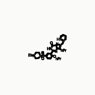 CCCOc1ccc(S(=O)(=O)N2CCN(CC)CC2)cc1-c1nc2c(CCC)n(CN3C=CC=CN3)nc2c(=O)[nH]1